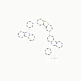 CCCC(C)(C)C(CC)c1cccc(-n2c3ccccc3c3cc(-c4ccc5sc6ccc(-c7cccc(-n8c9ccccc9c9ccccc98)c7)cc6c5c4)ccc32)c1